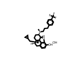 CN(CCCc1ccc(C(F)(F)F)cc1)[C@@H]1CC[C@@]2(O)[C@H]3Cc4ccc(O)c5c4[C@@]2(CCN3CC2CC2)[C@H]1O5.Cl